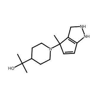 CC(C)(O)C1CCN(C2(C)C=CC3=C2CNN3)CC1